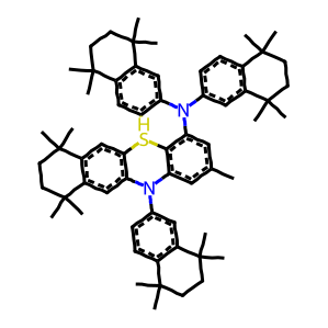 Cc1cc2c3c(c1)N(c1ccc4c(c1)C(C)(C)CCC4(C)C)c1cc4c(cc1[SH]3c1cc3c(cc1N2c1ccc2c(c1)C(C)(C)CCC2(C)C)C(C)(C)CCC3(C)C)C(C)(C)CCC4(C)C